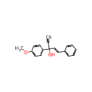 C#CC(O)(C=Cc1ccccc1)c1ccc(OC)cc1